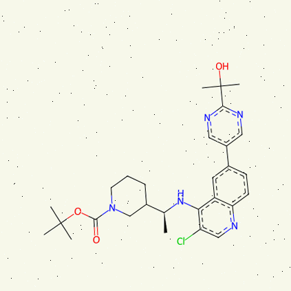 C[C@H](Nc1c(Cl)cnc2ccc(-c3cnc(C(C)(C)O)nc3)cc12)C1CCCN(C(=O)OC(C)(C)C)C1